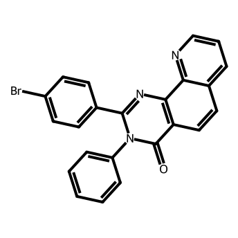 O=c1c2ccc3cccnc3c2nc(-c2ccc(Br)cc2)n1-c1ccccc1